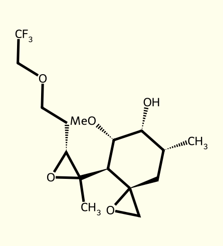 CO[C@@H]1[C@H](O)[C@H](C)C[C@]2(CO2)[C@H]1C1(C)O[C@@H]1CCOCC(F)(F)F